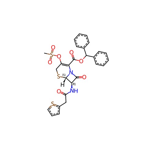 CS(=O)(=O)OC1=C(C(=O)OC(c2ccccc2)c2ccccc2)N2C(=O)[C@@H](NC(=O)Cc3cccs3)[C@@H]2SC1